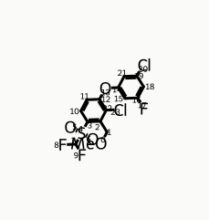 COCc1c(S(=O)(=O)C(F)F)ccc(Oc2cc(F)cc(Cl)c2)c1Cl